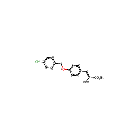 CCOC(=O)C(=Cc1ccc(OCc2ccc(Cl)cc2)cc1)C(C)=O